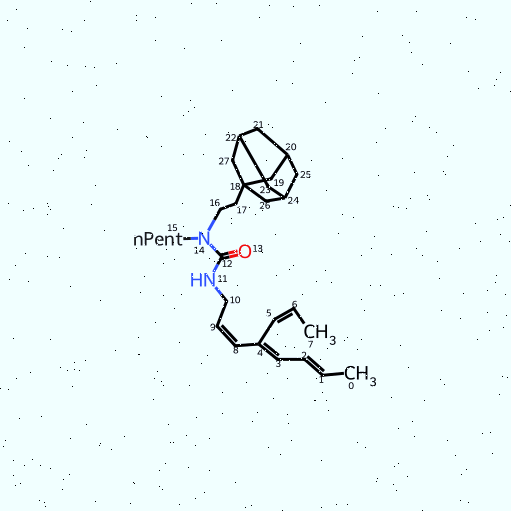 CC=C/C=C(\C=C/C)/C=C\CNC(=O)N(CCCCC)CCC12CC3CC(CC(C3)C1)C2